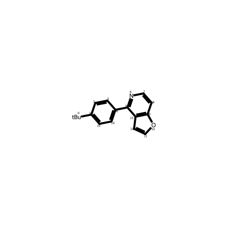 CC(C)(C)c1ccc(-c2nccc3occc23)cc1